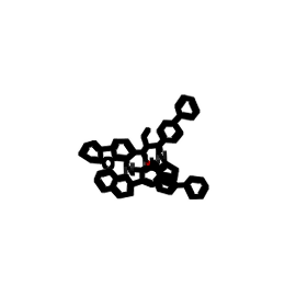 CCC1C(c2ccc(-c3ccccc3)cc2)=NC(c2cccc(-c3ccccc3)c2)=NC1c1ccc2c(oc3ccccc32)c1-n1c2cc3ccccc3cc2c2ccc3ccccc3c21